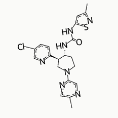 Cc1cnc(N2CC[C@@H](NC(=O)Nc3cc(C)ns3)[C@H](c3ccc(Cl)cn3)C2)cn1